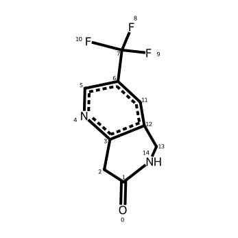 O=C1Cc2ncc(C(F)(F)F)cc2CN1